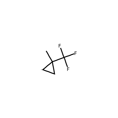 CC1(C(F)(F)F)[CH]C1